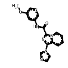 COc1cncc(NC(=O)c2nc(-n3ccnc3)c3ccccn23)c1